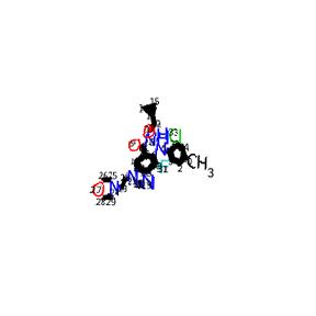 Cc1ccc(Nc2c(C(=O)NOCC3CC3)cc3c(ncn3CCN3CCOCC3)c2F)c(Cl)c1